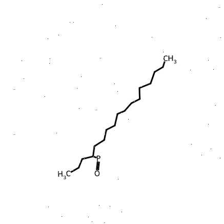 CCCCCCCCCCCCCC(CCC)P=O